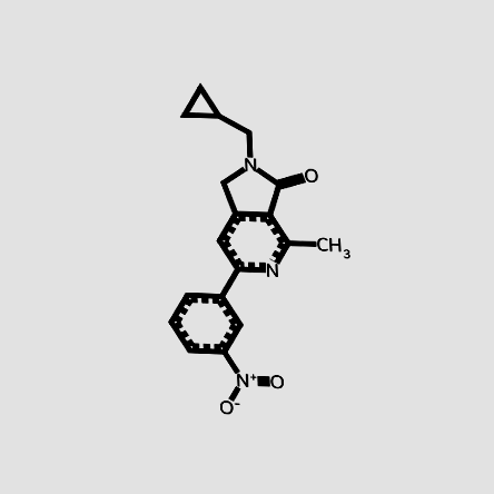 Cc1nc(-c2cccc([N+](=O)[O-])c2)cc2c1C(=O)N(CC1CC1)C2